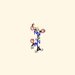 COc1nn(CC=NN(C(C)=O)C2CC2)c(=O)s1